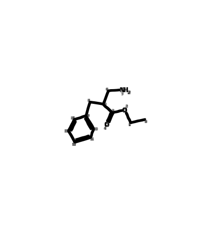 CCOC(=O)C(CN)Cc1ccccc1